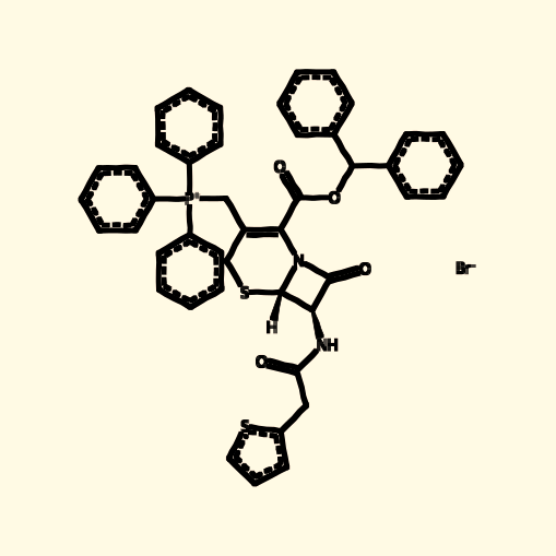 O=C(Cc1cccs1)N[C@@H]1C(=O)N2C(C(=O)OC(c3ccccc3)c3ccccc3)=C(C[P+](c3ccccc3)(c3ccccc3)c3ccccc3)CS[C@@H]12.[Br-]